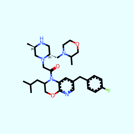 CC(C)CC1COc2ncc(Cc3ccc(F)cc3)cc2N1C(=O)CN1C[C@@H](C)NC[C@@H]1CN1CCOCC1C